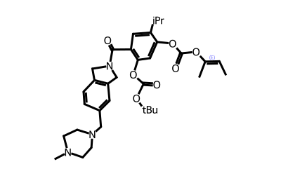 C/C=C(\C)OC(=O)Oc1cc(OC(=O)OC(C)(C)C)c(C(=O)N2Cc3ccc(CN4CCN(C)CC4)cc3C2)cc1C(C)C